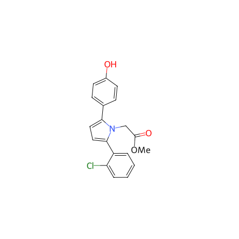 COC(=O)Cn1c(-c2ccc(O)cc2)ccc1-c1ccccc1Cl